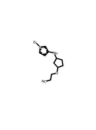 CCn1ccc(NC2CCC(OCCC#N)C2)c1